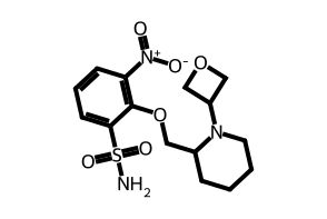 NS(=O)(=O)c1cccc([N+](=O)[O-])c1OCC1CCCCN1C1COC1